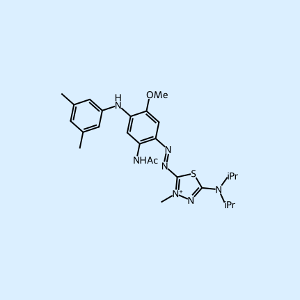 COc1cc(N=Nc2sc(N(C(C)C)C(C)C)n[n+]2C)c(NC(C)=O)cc1Nc1cc(C)cc(C)c1